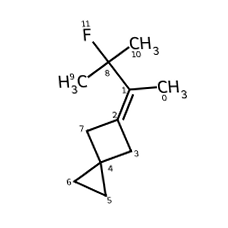 CC(=C1CC2(CC2)C1)C(C)(C)F